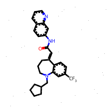 O=C(/C=C1\CCCN(CC2CCCC2)c2cc(C(F)(F)F)ccc21)Nc1ccc2cccnc2c1